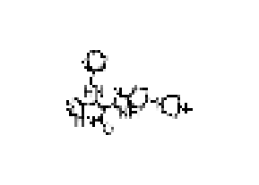 CN1CCN(c2ccc3nc(-c4c(NCc5ccccn5)c5cscc5[nH]c4=O)[nH]c3c2)CC1